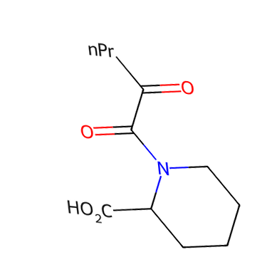 CCCC(=O)C(=O)N1CCCCC1C(=O)O